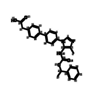 Cc1ncn(-c2ccc(-c3ccc(CC(=O)O)cc3)cc2)c1NC(=O)OC(C)c1ccccc1